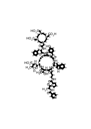 CC(O)[C@H](NC(=O)[C@@H]1CSSC[C@H](NC(=O)[C@@H](Cc2ccccc2)NC(=O)CN2CCN(CC(=O)O)CCN(CC(=O)O)CCN(CC(=O)O)CC2)C(=O)N[C@@H](Cc2ccc(O)cc2)C(=O)N[C@H](Cc2c[nH]c3ccccc23)C(=O)N[C@@H](CCCCNC(=O)C2CCCN2C(=O)[C@@H](C)NC(=O)c2ccncc2)C(=O)N[C@@H](C(C)O)C(=O)N1)C(=O)O